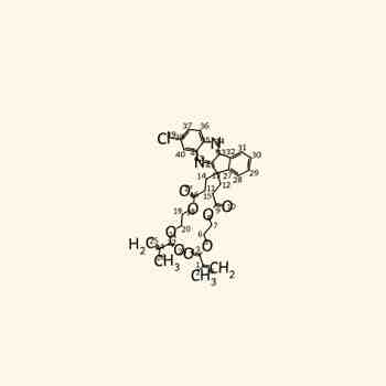 C=C(C)C(=O)OCCOC(=O)CCC1(CCC(=O)OCCOC(=O)C(=C)C)c2ccccc2-c2nc3ccc(Cl)cc3nc21